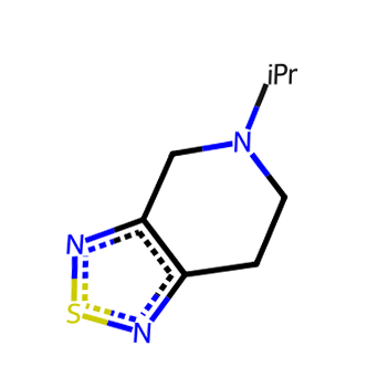 CC(C)N1CCc2nsnc2C1